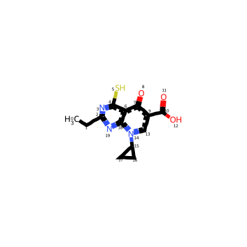 CCc1nc(S)c2c(=O)c(C(=O)O)cn(C3CC3)c2n1